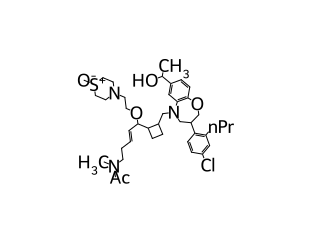 CCCc1cc(Cl)ccc1C1COc2ccc(C(C)O)cc2N(CC2CCC2C(/C=C/CCN(C)C(C)=O)OCCN2CC[S+]([O-])CC2)C1